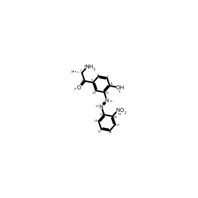 C[C@H](N)C(=O)c1ccc(O)c(N=Nc2ccccc2[N+](=O)[O-])c1